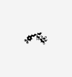 C=CCN(CCCc1ccc([N+](=O)[O-])cc1)CCNc1cc(=O)n(C)c(=O)n1C